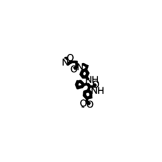 COC(=O)c1ccc2c(c1)NC(=O)/C2=C(\Nc1ccc2c(c1)CCN2C(=O)Cc1cnco1)c1ccccc1